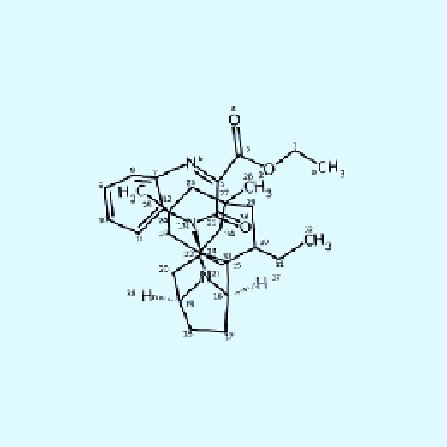 CCOC(=O)c1nc2ccccc2n([C@H]2C[C@H]3CC[C@@H](C2)N3C23CC(C)CC(C)(CC(CC)C2)C3)c1=O